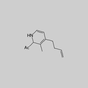 C=CCCC1=C(C)C(C(C)=O)NC=C1